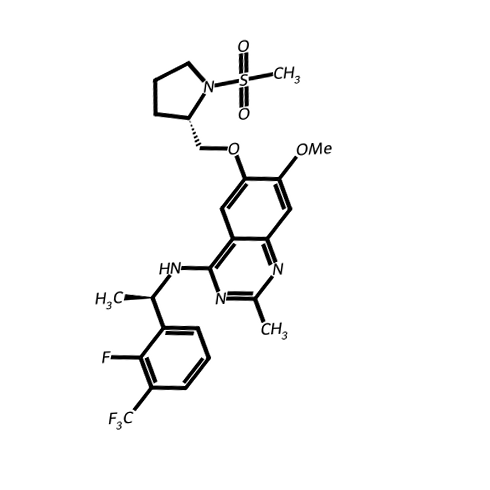 COc1cc2nc(C)nc(N[C@H](C)c3cccc(C(F)(F)F)c3F)c2cc1OC[C@@H]1CCCN1S(C)(=O)=O